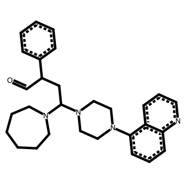 O=CC(CC(N1CCCCCC1)N1CCN(c2cccc3ncccc23)CC1)c1ccccc1